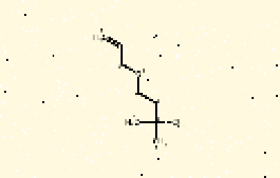 C=CCOCCC(C)(C)C